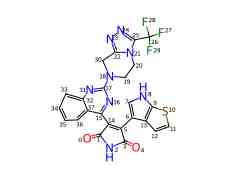 O=C1NC(=O)C(c2c[nH]c3sccc23)=C1c1nc(N2CCn3c(nnc3C(F)(F)F)C2)nc2ccccc12